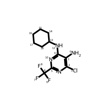 Nc1c(Cl)nc(C(F)(F)F)nc1NC1CCCCC1